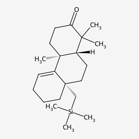 CC1(C)C(=O)CC[C@]2(C)C3=CCCC[C@]3(C[Si](C)(C)C)CC[C@@H]12